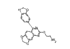 NCCOc1nc(-c2ccc3c(c2)OCO3)c2cc3c(cc2n1)OCO3